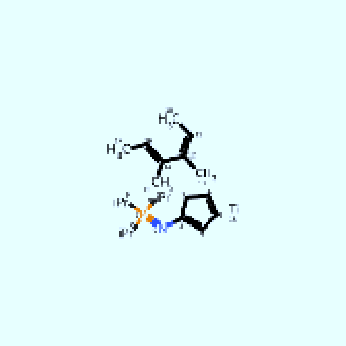 CC(C)P(=NC1=CC=CC1)(C(C)C)C(C)C.CC=C(C)C(C)=CC.[Ti]